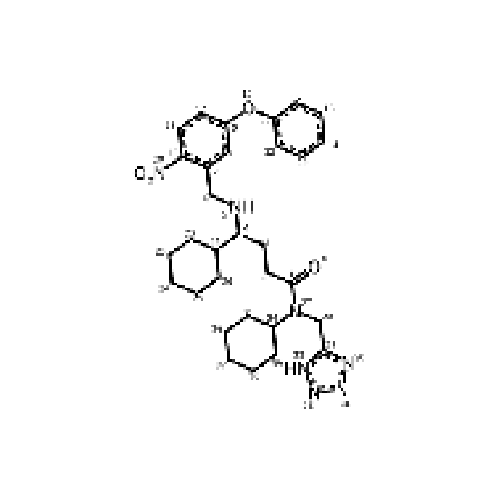 O=C(CC[C@H](NCc1cc(Oc2ccccc2)ccc1[N+](=O)[O-])C1CCCCC1)N(Cc1nnn[nH]1)C1CCCCC1